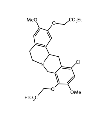 CCOC(=O)COc1cc2c(cc1OC)CCN1Cc3c(c(Cl)cc(OC)c3OCC(=O)OCC)CC21